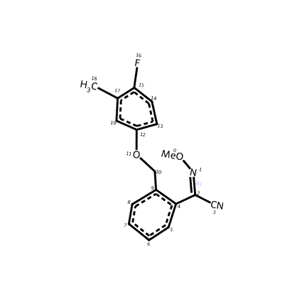 CO/N=C(/C#N)c1ccccc1COc1ccc(F)c(C)c1